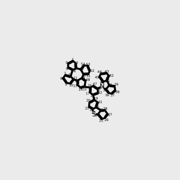 c1ccc2c(c1)-c1ccccc1-c1ccc(-c3cc(-c4ccc5sc6ccccc6c5c4)cc(-n4c5ccccc5c5ccccc54)c3)cc1-c1ccccc1-2